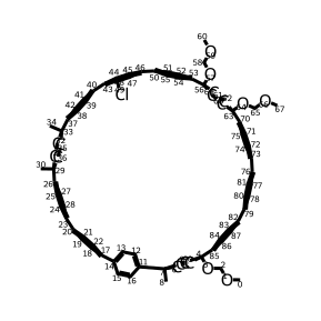 COCOC12CCC(C)(CC1)c1ccc(cc1)-c1ccc(cc1)-c1ccc(cc1)C1(C)CCC(C)(CC1)c1ccc(cc1)-c1ccc(cc1Cl)-c1ccc(cc1)C1(OCOC)CCC(OCOC)(CC1)c1ccc(cc1)-c1ccc(cc1)-c1ccc2cc1